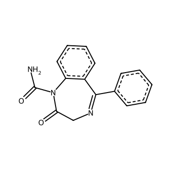 NC(=O)N1C(=O)CN=C(c2ccccc2)c2ccccc21